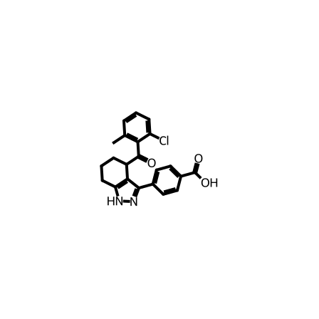 Cc1cccc(Cl)c1C(=O)C1CCCc2[nH]nc(-c3ccc(C(=O)O)cc3)c21